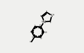 Cc1ccc(N2[C]=CSC2)cc1